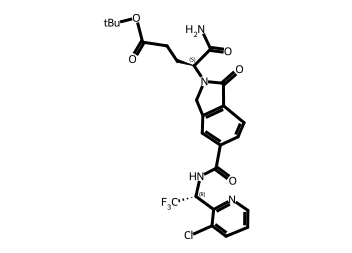 CC(C)(C)OC(=O)CC[C@@H](C(N)=O)N1Cc2cc(C(=O)N[C@H](c3ncccc3Cl)C(F)(F)F)ccc2C1=O